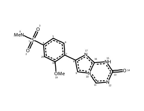 CNS(=O)(=O)c1ccc(-c2cn3cnc(=O)[nH]c3n2)c(OC)c1